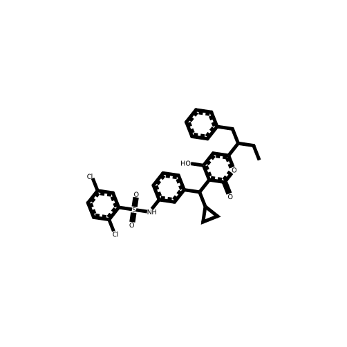 CCC(Cc1ccccc1)c1cc(O)c(C(c2cccc(NS(=O)(=O)c3cc(Cl)ccc3Cl)c2)C2CC2)c(=O)o1